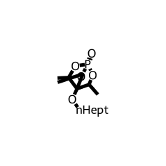 CCCCCCCOC12C(C)OP(=O)(OC1C)OC2C